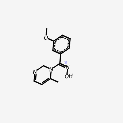 COc1cccc(/C(=N/O)N2CN=CC=C2C)c1